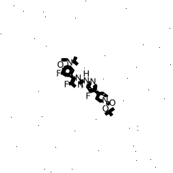 C=N/C(=N\C(=C(/C)F)c1cc(F)c2c(c1)N(C(C)C)CCO2)Nc1cc(F)c(C2CCN(C(=O)OC(C)(C)C)CC2)cn1